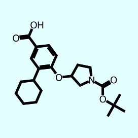 CC(C)(C)OC(=O)N1CCC(Oc2ccc(C(=O)O)cc2C2CCCCC2)C1